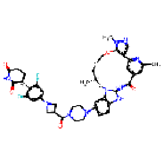 Cc1cc2cc(n1)-c1cnn(C)c1OCCC[C@@H](C)CN1/C(=N/C2=O)Nc2ccc(N3CCN(C(=O)C4CN(c5cc(F)c([C@H]6CCC(=O)NC6=O)c(F)c5)C4)CC3)cc21